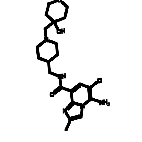 Cc1cn2c(N)c(Cl)cc(C(=O)NCC3CCN(CC4(O)CCOCC4)CC3)c2n1